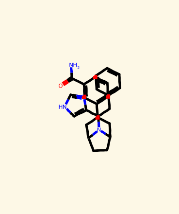 NC(=O)c1cccc(C2CC3CCC(C2)N3C(Cc2ccccc2)c2c[nH]cn2)c1